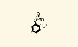 O=[S-](=O)Oc1ccccc1.[Li+]